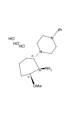 CO[C@H]1CCC[C@H](N2CCN(C(C)C)CC2)[C@H]1N.Cl.Cl.Cl